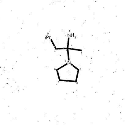 CC(C)CC(C)(N)N1CCCC1